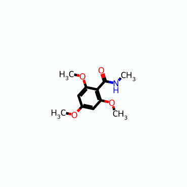 CNC(=O)c1c(OC)cc(OC)cc1OC